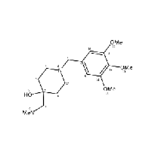 CNCC1(O)CCN(Cc2cc(OC)c(OC)c(OC)c2)CC1